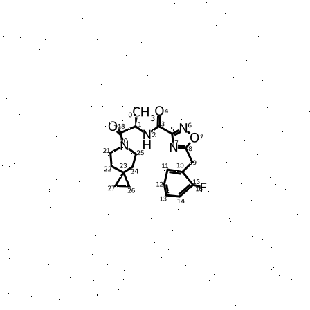 C[C@@H](NC(=O)c1noc(Cc2ccccc2F)n1)C(=O)N1CCC2(CC1)CC2